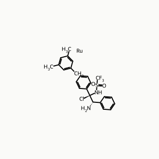 Cc1cc(C)cc(C)c1.N[C@@H](c1ccccc1)[C@@](Cl)(NS(=O)(=O)C(F)(F)F)c1ccccc1.[Ru]